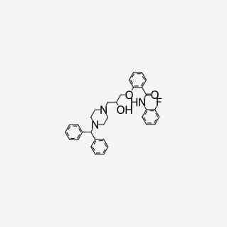 O=C(Nc1ccccc1F)c1ccccc1OCC(O)CN1CCN(C(c2ccccc2)c2ccccc2)CC1